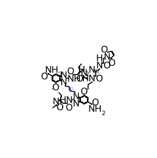 CCc1nc(C)oc1C(=O)Nc1nc2cc(C(N)=O)cc(OC)c2n1C/C=C/Cn1c(NC(=O)c2oc(C)nc2CC)nc2cc(C(N)=O)cc(OCCCNC(=O)[C@H](N)CNC(=O)CN3C(=O)C=CC3=O)c21